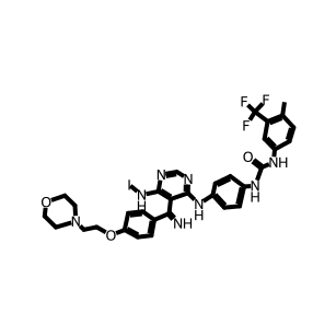 Cc1ccc(NC(=O)Nc2ccc(Nc3ncnc(NI)c3C(=N)c3ccc(OCCN4CCOCC4)cc3)cc2)cc1C(F)(F)F